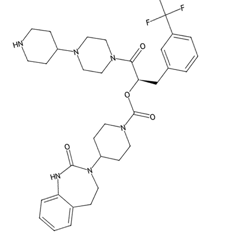 O=C(O[C@H](Cc1cccc(C(F)(F)F)c1)C(=O)N1CCN(C2CCNCC2)CC1)N1CCC(N2CCc3ccccc3NC2=O)CC1